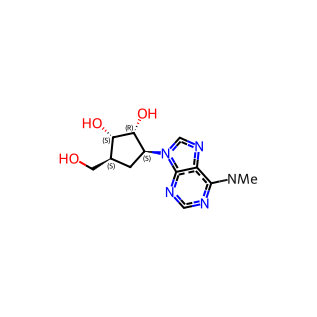 CNc1ncnc2c1ncn2[C@H]1C[C@@H](CO)[C@H](O)[C@@H]1O